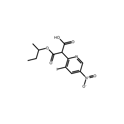 CCC(C)OC(=O)C(C(=O)O)c1ncc([N+](=O)[O-])cc1I